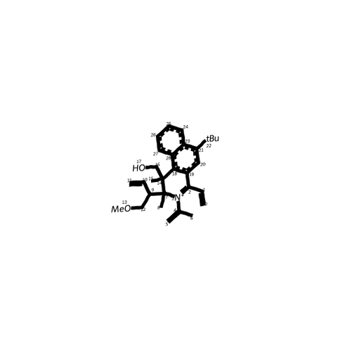 C=CC1=[N+](C(=C)C)C(C)(C(C=C)COC)C(C)(CO)c2c1cc(C(C)(C)C)c1ccccc21